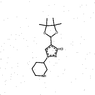 CC1(C)OB(c2cnn(C3CCCNC3)c2)OC1(C)C.Cl